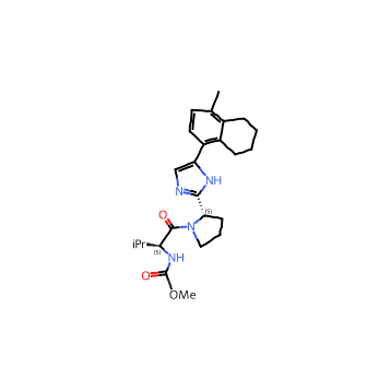 COC(=O)N[C@H](C(=O)N1CCC[C@H]1c1ncc(-c2ccc(C)c3c2CCCC3)[nH]1)C(C)C